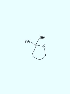 CCCC1(C(C)(C)C)CCCO1